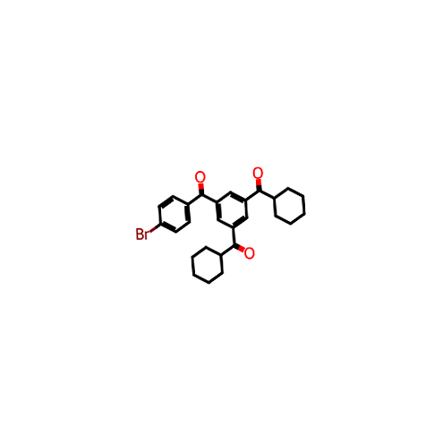 O=C(c1ccc(Br)cc1)c1cc(C(=O)C2CCCCC2)cc(C(=O)C2CCCCC2)c1